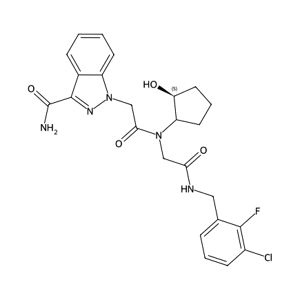 NC(=O)c1nn(CC(=O)N(CC(=O)NCc2cccc(Cl)c2F)C2CCC[C@@H]2O)c2ccccc12